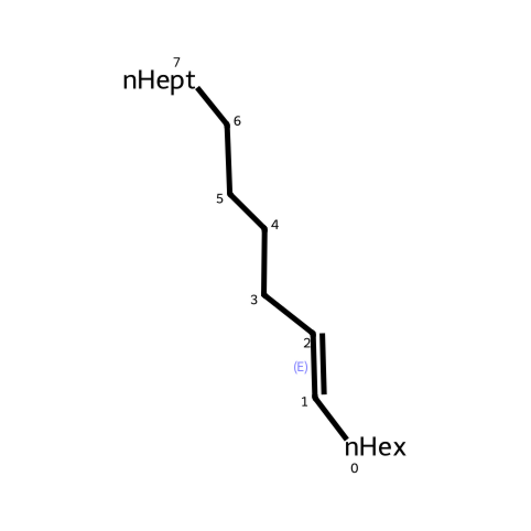 [CH2]CCCCC/C=C/CCCCCCCCCC[CH2]